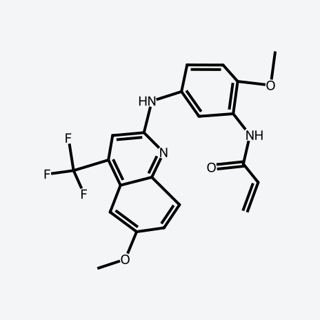 C=CC(=O)Nc1cc(Nc2cc(C(F)(F)F)c3cc(OC)ccc3n2)ccc1OC